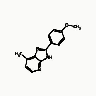 COc1ccc(-c2nc3c(C)ccnc3[nH]2)cc1